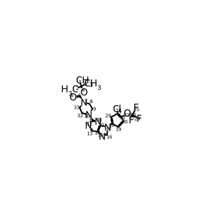 CC(C)(C)OC(=O)N1CCN(c2ncc3ncn(-c4ccc(OC(F)(F)F)c(Cl)c4)c3n2)CC1